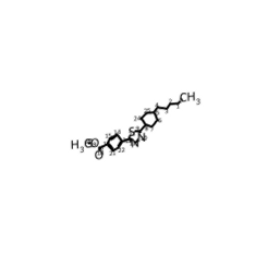 CCCCCC1CCC(c2nnc(-c3ccc(C(=O)OC)cc3)s2)CC1